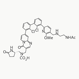 COc1nc(-c2cccc(-c3cccc(-c4ccn5c(=O)c(CN(C[C@@H]6CCC(=O)N6)C(=O)O)cnc5c4)c3Cl)c2Cl)ccc1CNCCNC(C)=O